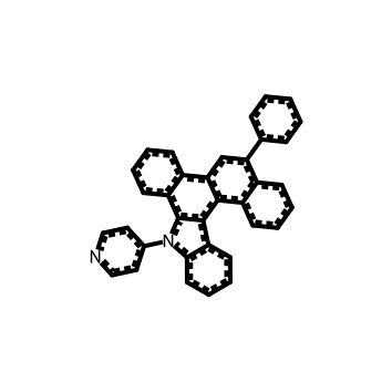 c1ccc(-c2cc3c4ccccc4c4c(c5ccccc5n4-c4ccncc4)c3c3ccccc23)cc1